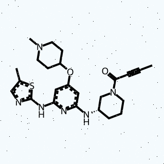 CC#CC(=O)N1CCC[C@H](Nc2cc(OC3CCN(C)CC3)cc(Nc3ncc(C)s3)n2)C1